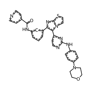 O=C(Nc1cccc(-c2nc3sccn3c2-c2ccnc(Nc3ccc(N4CCOCC4)cc3)n2)c1)c1ccncc1